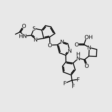 CC(=O)Nc1nc2c(Oc3cc(-c4ccc(C(F)(F)F)cc4NC(=O)C4CCN4C(=O)O)ncn3)cccc2s1